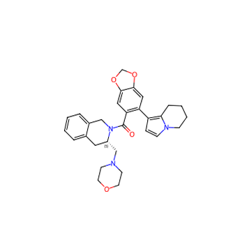 O=C(c1cc2c(cc1-c1ccn3c1CCCC3)OCO2)N1Cc2ccccc2C[C@H]1CN1CCOCC1